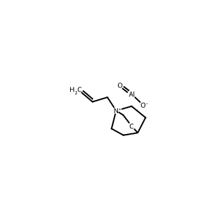 C=CC[N+]12CCC(CC1)CC2.[O]=[Al][O-]